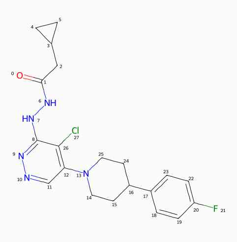 O=C(CC1CC1)NNc1nncc(N2CCC(c3ccc(F)cc3)CC2)c1Cl